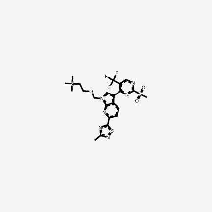 Cc1nsc(-c2ccc3c(-c4nc(S(C)(=O)=O)ncc4C(F)(F)F)cn(COCC[Si](C)(C)C)c3n2)n1